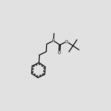 CN(CC[CH]c1ccccc1)C(=O)OC(C)(C)C